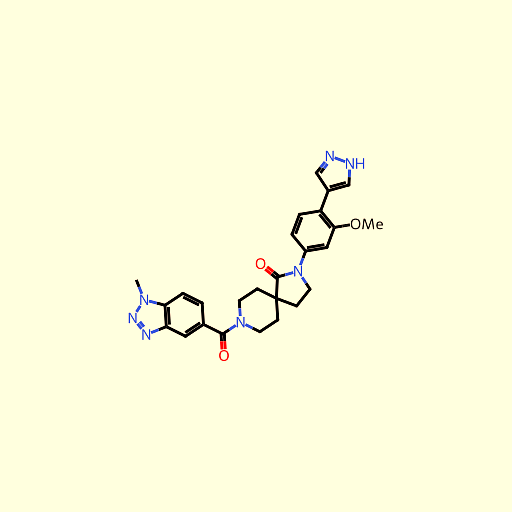 COc1cc(N2CCC3(CCN(C(=O)c4ccc5c(c4)nnn5C)CC3)C2=O)ccc1-c1cn[nH]c1